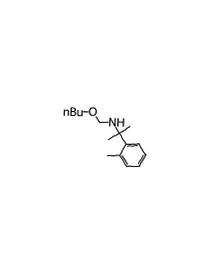 CCCCOCNC(C)(C)c1ccccc1C